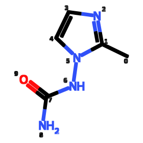 Cc1nccn1NC(N)=O